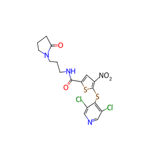 O=C(NCCCN1CCCC1=O)c1cc([N+](=O)[O-])c(Sc2c(Cl)cncc2Cl)s1